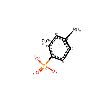 O=[N+]([O-])c1ccc(P(=O)([O-])[O-])cc1.[Cu+2]